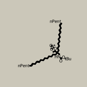 CCCCCC=CCC=CCCCCCCCCC(CCCCCCCCC=CCC=CCCCCC)(CNC(=O)OC(C)(C)C)C(C)OS(C)(=O)=O